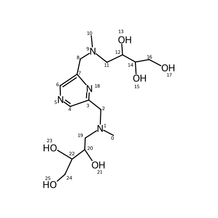 CN(Cc1cncc(CN(C)CC(O)C(O)CO)n1)CC(O)C(O)CO